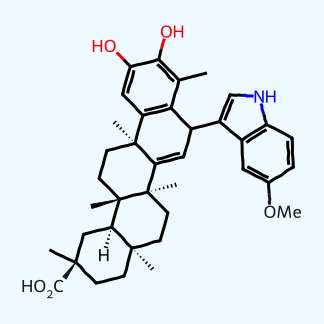 COc1ccc2[nH]cc(C3C=C4[C@@](C)(CC[C@@]5(C)[C@@H]6C[C@](C)(C(=O)O)CC[C@]6(C)CC[C@]45C)c4cc(O)c(O)c(C)c43)c2c1